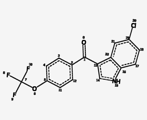 O=C(c1ccc(OC(F)(F)F)cc1)c1c[nH]c2ccc(Cl)cc12